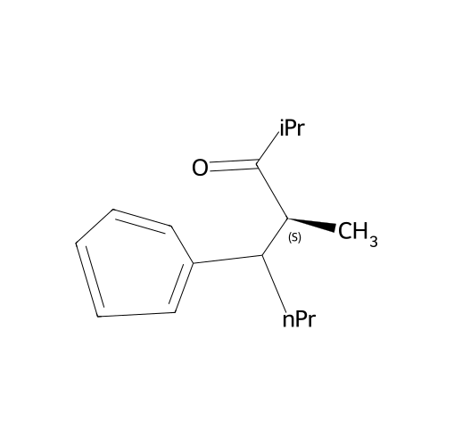 CCCC(c1ccccc1)[C@H](C)C(=O)C(C)C